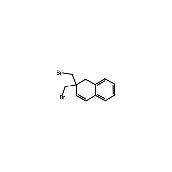 BrCC1(CBr)C=Cc2ccccc2C1